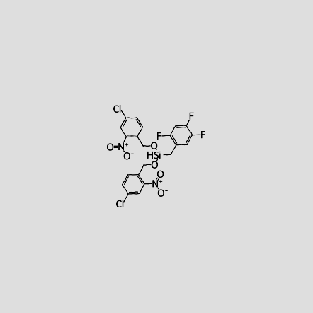 O=[N+]([O-])c1cc(Cl)ccc1CO[SiH](Cc1cc(F)c(F)cc1F)OCc1ccc(Cl)cc1[N+](=O)[O-]